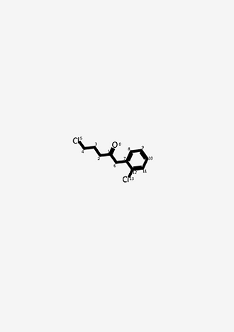 O=C(CCCCl)Cc1ccccc1Cl